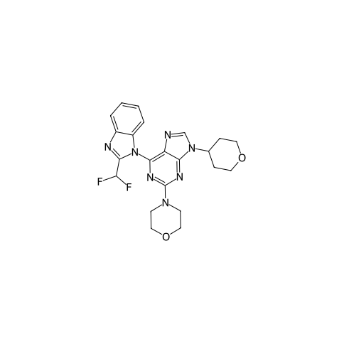 FC(F)c1nc2ccccc2n1-c1nc(N2CCOCC2)nc2c1ncn2C1CCOCC1